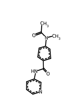 CC(=O)N(C)c1ccc(C(=O)Nc2cccnc2)cc1